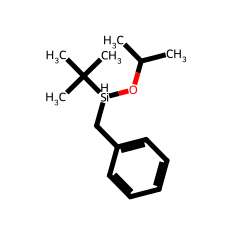 CC(C)O[SiH](Cc1ccccc1)C(C)(C)C